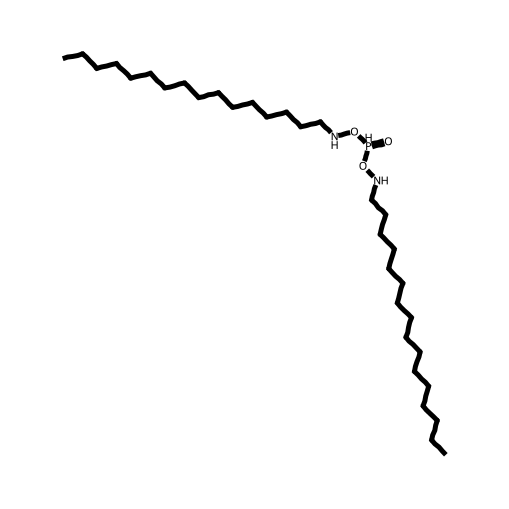 CCCCCCCCCCCCCCCCNO[PH](=O)ONCCCCCCCCCCCCCCCC